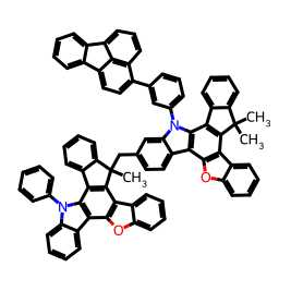 CC1(C)c2ccccc2-c2c1c1c3ccccc3oc1c1c3ccc(CC4(C)c5ccccc5-c5c4c4c6ccccc6oc4c4c6ccccc6n(-c6ccccc6)c54)cc3n(-c3cccc(-c4ccc5c6c(cccc46)-c4ccccc4-5)c3)c21